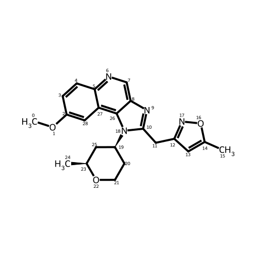 COc1ccc2ncc3nc(Cc4cc(C)on4)n([C@H]4CCO[C@@H](C)C4)c3c2c1